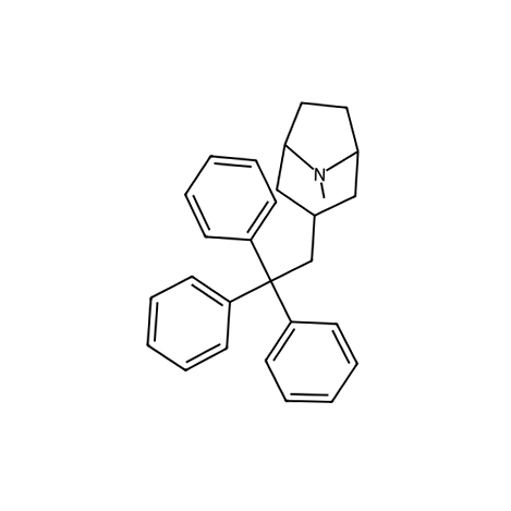 CN1C2CCC1CC(CC(c1ccccc1)(c1ccccc1)c1ccccc1)C2